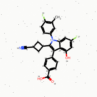 Cc1cc(-n2c(C3CC(C#N)C3)c(-c3ccc(C(=O)O)cc3)c3c(O)cc(F)cc32)ccc1F